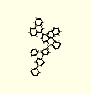 c1ccc(-c2ccc(-c3ccc(N(c4ccc(-c5cc6ccccc6c6ccccc56)cc4)c4ccccc4-c4cccc5ccccc45)cc3-c3ccccc3)cc2)cc1